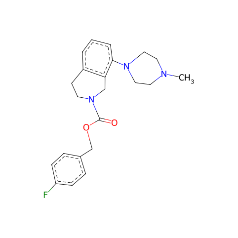 CN1CCN(c2cccc3c2CN(C(=O)OCc2ccc(F)cc2)CC3)CC1